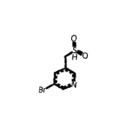 O=[SH](=O)Cc1cncc(Br)c1